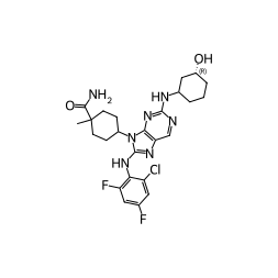 CC1(C(N)=O)CCC(n2c(Nc3c(F)cc(F)cc3Cl)nc3cnc(NC4CCC[C@@H](O)C4)nc32)CC1